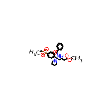 CCS(=O)(=O)c1ccc(C(CC=CC(=O)OC)(NC(=O)c2ccccc2)N2CCCC2)cc1